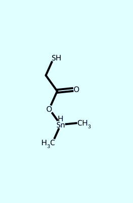 [CH3][SnH]([CH3])[O]C(=O)CS